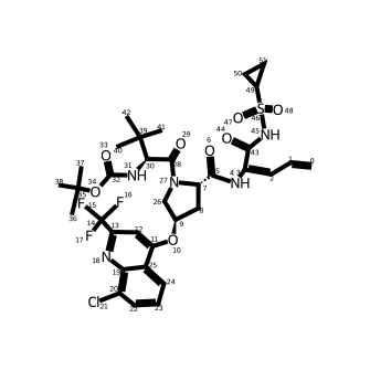 C=C/C=C(/NC(=O)[C@@H]1C[C@@H](Oc2cc(C(F)(F)F)nc3c(Cl)cccc23)CN1C(=O)[C@@H](NC(=O)OC(C)(C)C)C(C)(C)C)C(=O)NS(=O)(=O)C1CC1